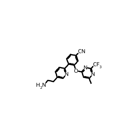 Cc1cc(Oc2cc(C#N)ccc2-c2ccc(CCN)cn2)nc(C(F)(F)F)n1